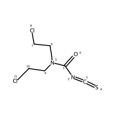 O=C(N=C=S)N(CCCl)CCCl